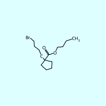 CCCCOC(=O)C1(CCCCBr)CCCC1